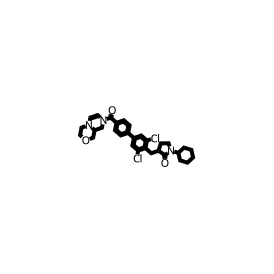 O=C(c1ccc(-c2cc(Cl)c(CC3CCN(C4CCCCC4)C3=O)c(Cl)c2)cc1)N1C=CN2CCOCC2C1